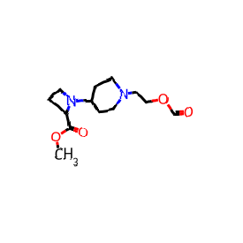 COC(=O)C1CCN1C1CCN(CCOC=O)CC1